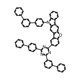 c1ccc(-c2ccc(-c3nc(-c4cccc(-c5ccccc5)c4)nc(-c4ccc5oc6cc7c8ccccc8n(-c8ccc(-c9cccc(-c%10ccccc%10)c9)cc8)c7cc6c5c4)n3)cc2)cc1